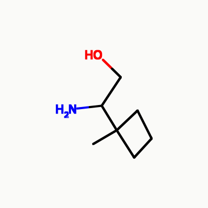 CC1(C(N)CO)CCC1